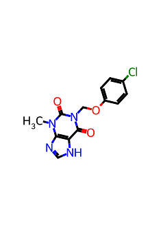 Cn1c(=O)n(COc2ccc(Cl)cc2)c(=O)c2[nH]cnc21